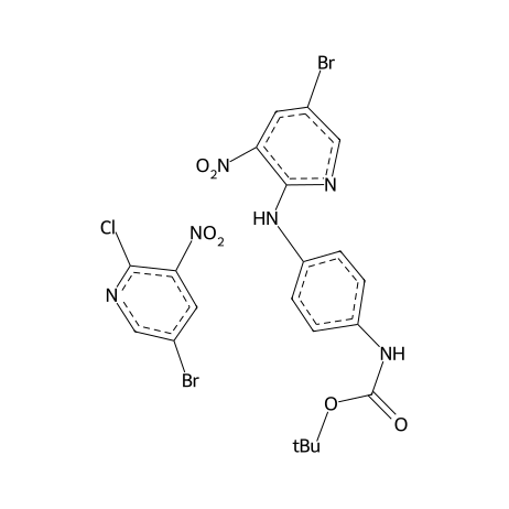 CC(C)(C)OC(=O)Nc1ccc(Nc2ncc(Br)cc2[N+](=O)[O-])cc1.O=[N+]([O-])c1cc(Br)cnc1Cl